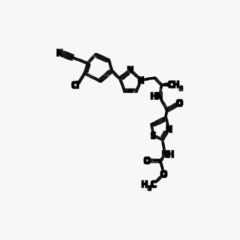 COC(=O)Nc1nc(C(=O)N[C@H](C)Cn2ccc(-c3ccc(C#N)c(Cl)c3)n2)cs1